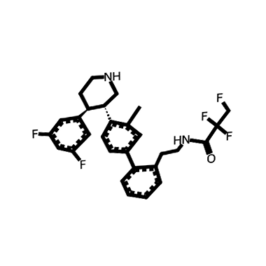 Cc1cc(-c2ccccc2CCNC(=O)C(F)(F)CF)ccc1[C@H]1CNCC[C@@H]1c1cc(F)cc(F)c1